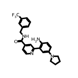 Nc1ccc(N2CCCC2)cc1-c1cc(C(=O)NCc2cccc(C(F)(F)F)c2)ccn1